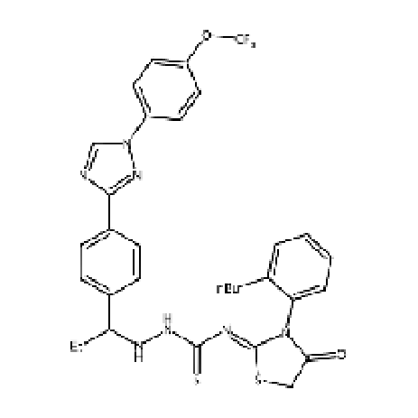 CCCCc1ccccc1N1C(=O)CS/C1=N\C(=S)NNC(CC)c1ccc(-c2ncn(-c3ccc(OC(F)(F)F)cc3)n2)cc1